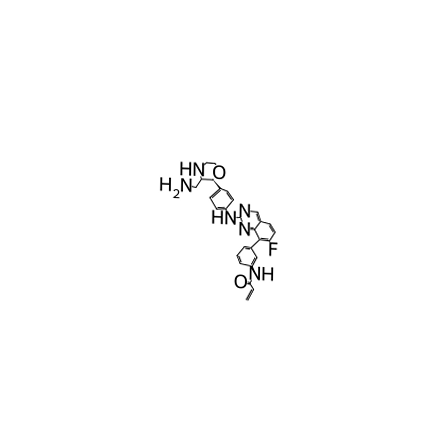 C=CC(=O)Nc1cccc(-c2c(F)ccc3cnc(Nc4ccc([C@@H]5OCCNC5CN)cc4)nc23)c1